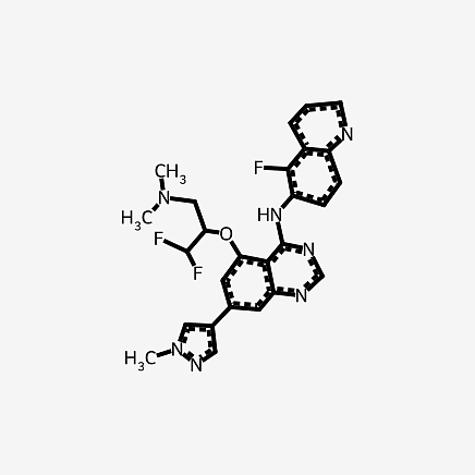 CN(C)CC(Oc1cc(-c2cnn(C)c2)cc2ncnc(Nc3ccc4ncccc4c3F)c12)C(F)F